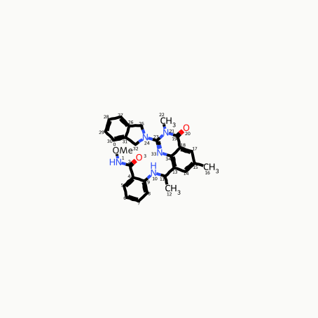 CONC(=O)c1ccccc1NC(C)c1cc(C)cc2c(=O)n(C)c(N3Cc4ccccc4C3)nc12